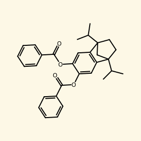 CC(C)C12CCC(C(C)C)(C1)c1cc(OC(=O)c3ccccc3)c(OC(=O)c3ccccc3)cc12